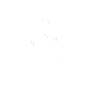 CCC(CC)Nc1c2c(nc3c(-c4cc(Cl)ccc4OC)c(C)nn13)CCC2